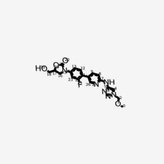 COCn1cc(Nc2ccc(-c3ccc(N4CC(CO)OC4=O)cc3F)cn2)nn1